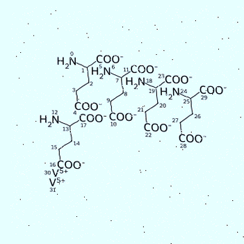 NC(CCC(=O)[O-])C(=O)[O-].NC(CCC(=O)[O-])C(=O)[O-].NC(CCC(=O)[O-])C(=O)[O-].NC(CCC(=O)[O-])C(=O)[O-].NC(CCC(=O)[O-])C(=O)[O-].[V+5].[V+5]